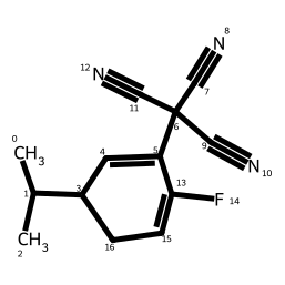 CC(C)C1C=C(C(C#N)(C#N)C#N)C(F)=CC1